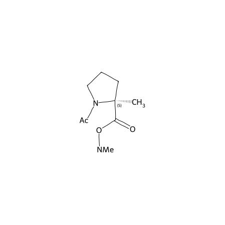 CNOC(=O)[C@]1(C)CCCN1C(C)=O